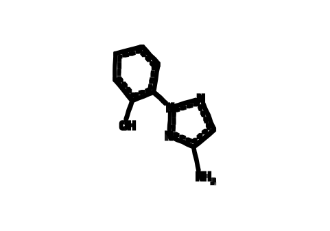 Nc1cnn(-c2ccccc2O)n1